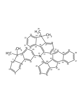 CC1(C)c2ccccc2-c2cc(N(c3cccc4c3-c3ccccc3C4(C)C)c3cccc4sc5c6ccccc6ccc5c34)ccc21